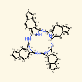 c1cc2ccc3c4[nH]c5nc(nc6nc(nc7nc(nc([nH]4)c3cc-2c1)c1ccc2cccc2cc71)c1ccc2cccc2cc61)c1ccc2cccc2cc51